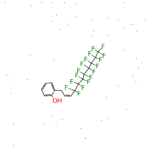 Oc1ccccc1C/C=C\C(F)(F)C(F)(F)C(F)(F)C(F)(F)C(F)(F)C(F)(F)C(F)(F)C(F)(F)F